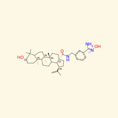 C=C(C)[C@@H]1CC[C@]2(C(=O)NCc3cccc(/C(N)=N/O)c3)CC[C@]3(C)C(CCC4[C@@]5(C)CC[C@H](O)C(C)(C)C5CC[C@]43C)C12